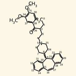 CCC(CCN1CCC(=C2c3ccccc3C=Cc3ccccc32)CC1)C(=O)c1ccc(OC)c(OC)c1